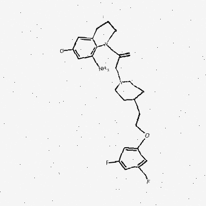 C=C(CN1CCC(CCOc2cc(F)cc(F)c2)CC1)N1CCCc2cc(Cl)cc(N)c21